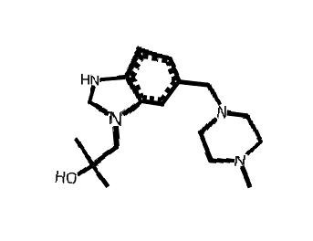 CN1CCN(Cc2ccc3c(c2)N(CC(C)(C)O)CN3)CC1